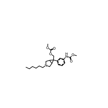 CCCCCCN1CC2C(C1)C2(COC(=O)OC)c1cccc(NC(=O)OC)c1